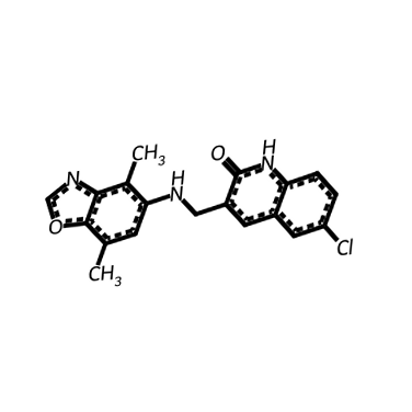 Cc1c(NCc2cc3cc(Cl)ccc3[nH]c2=O)cc(C)c2ocnc12